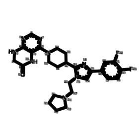 O=C1CNc2ncnc(N3CCC(c4nc(-c5ccc(F)c(F)c5)cn4CCN4CCCC4)CC3)c2N1